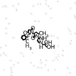 Cc1cccc(OC2=CC(=O)N([C@H]3CC(C)N(C(=N)/C=C\NC[C@@H](O)CO)C3=O)C2)c1F